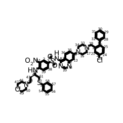 O=[N+]([O-])c1cc(S(=O)(=O)Nc2ncnc3cc(N4CCN(Cc5cc(Cl)ccc5-c5ccccc5)CC4)ccc23)ccc1N[C@H](CCN1CCOCC1)CSc1ccccc1